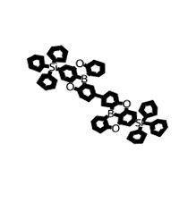 c1ccc([Si](c2ccccc2)(c2ccccc2)c2cc3c4c(c2)Oc2ccc(-c5ccc6c(c5)B5c7ccccc7Oc7cc([Si](c8ccccc8)(c8ccccc8)c8ccccc8)cc(c75)O6)cc2B4c2ccccc2O3)cc1